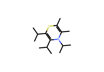 CC1=C(C)N(C(C)C)C(C(C)C)=C(C(C)C)S1